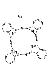 [Ag].c1ccc2c(c1)-c1nc-2nc2[nH]c(nc3nc(nc4[nH]c(n1)c1ccccc41)-c1ccccc1-3)c1ccccc21